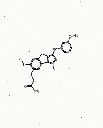 CCOc1cccc(Nc2nn(C)c3c2Cc2cc(OCC)c(OCC(N)=O)cc2-3)c1